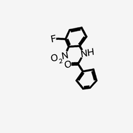 O=C(Nc1cccc(F)c1[N+](=O)[O-])c1ccccc1